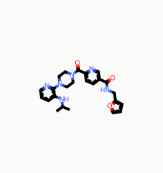 CC(C)Nc1cccnc1N1CCN(C(=O)c2ccc(C(=O)NCc3ccco3)cn2)CC1